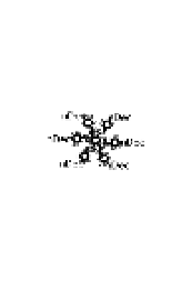 CCCCCCCCCCC1CCC(CSc2c(SCC3CCC(CCCCCCCCCC)CC3)c(SCC3CCC(CCCCCCCCCC)CC3)c(SCC3CCC(CCCCCCCCCC)CC3)c(SCC3CCC(CCCCCCCCCC)CC3)c2SCC2CCC(CCCCCCCCCC)CC2)CC1